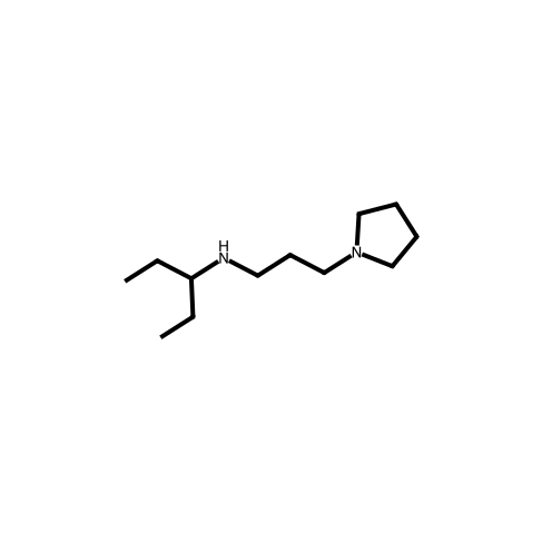 CCC(CC)NCCCN1CCCC1